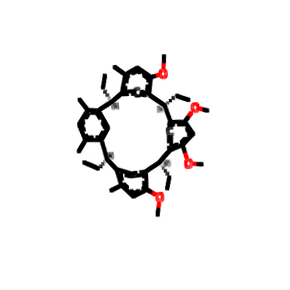 CC[C@@H]1c2cc(c(C)cc2C)[C@H](CC)c2cc(c(OC)cc2C)[C@H](CC)c2cc(c(OC)cc2OC)[C@H](CC)c2cc1c(C)cc2OC